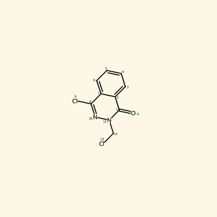 O=c1c2ccccc2c(Cl)nn1CCl